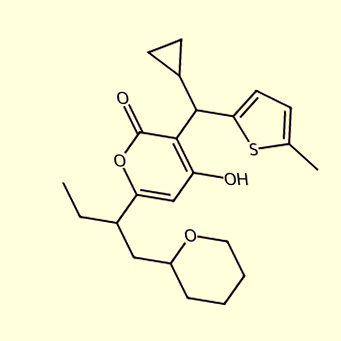 CCC(CC1CCCCO1)c1cc(O)c(C(c2ccc(C)s2)C2CC2)c(=O)o1